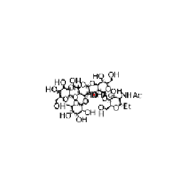 CC[C@@H]1OC(CO)[C@@H](O[C@@H]2OC(CO)[C@H](O)C(O[C@@H]3OC(CO)[C@@H](O[C@@H]4OC(CO)[C@H](O)C(O)[C@@H]4O)C(O[C@@H]4OC(C)[C@@H](O)[C@@H](O)C4O)[C@@H]3NC(C)=O)[C@@H]2O)[C@H](O)C1NC(C)=O